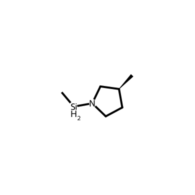 C[SiH2]N1CC[C@H](C)C1